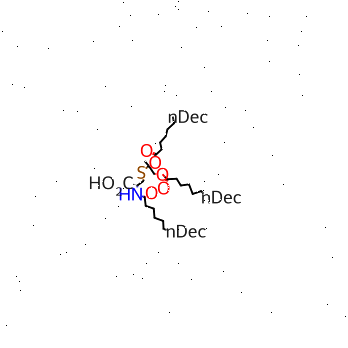 CCCCCCCCCCCCCCCC(=O)N[C@@H](CSC(C)(COC(=O)CCCCCCCCCCCCCCC)OC(=O)CCCCCCCCCCCCCCC)C(=O)O